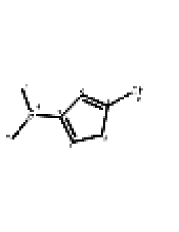 CCC1=CC(B(C)C)=CC1